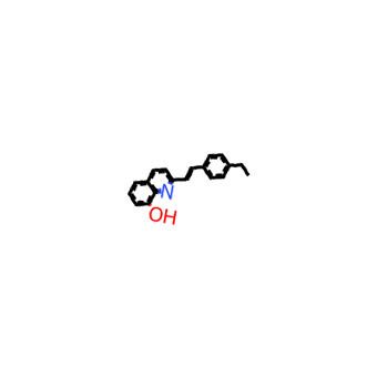 CCc1ccc(/C=C/c2ccc3cccc(O)c3n2)cc1